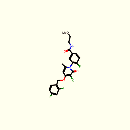 COCCNC(=O)c1ccc(F)c(-n2c(C)cc(OCc3ccc(F)cc3F)c(Cl)c2=O)c1